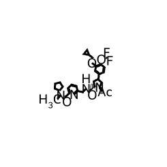 CC(=O)N1CC(c2ccc(OC(F)F)c(OCC3CC3)c2)C[C@@H]1C(=O)NCc1cccc(C(=O)N(C)C2CCCC2)n1